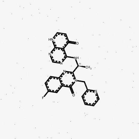 C[C@H](Nc1ncnc2[nH]ccc(=O)c12)c1nc2ccc(F)cc2c(=O)n1Cc1ccccn1